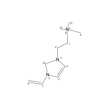 C=CN1C=CN(CC[N+](C)(C)C)C1